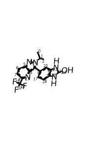 CC(C)n1nc2ccc(C(F)(F)F)nc2c1-c1ccc2c(c1)NC(O)N2